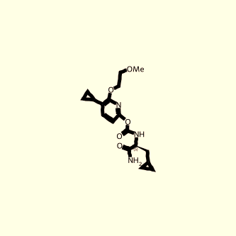 COCCOc1nc(OC(=O)N[C@@H](CC2CC2)C(N)=O)ccc1C1CC1